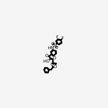 O=c1c(O)c(C2=COC(Cc3ccccc3)O2)oc2ccc(NS(=O)(=O)c3ccc(F)c(F)c3)cc12